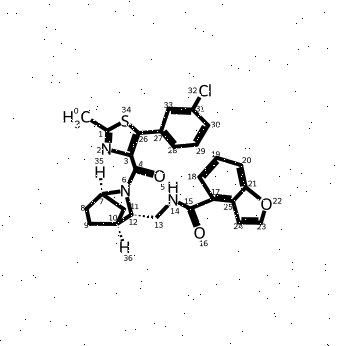 Cc1nc(C(=O)N2[C@@H]3CC[C@@H](C3)[C@H]2CNC(=O)c2cccc3occc23)c(-c2cccc(Cl)c2)s1